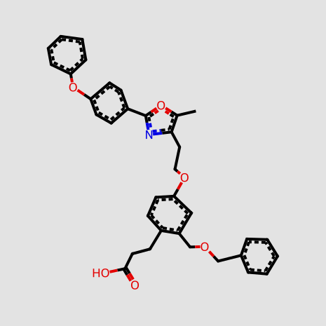 Cc1oc(-c2ccc(Oc3ccccc3)cc2)nc1CCOc1ccc(CCC(=O)O)c(COCc2ccccc2)c1